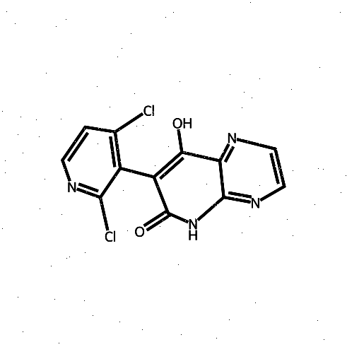 O=c1[nH]c2nccnc2c(O)c1-c1c(Cl)ccnc1Cl